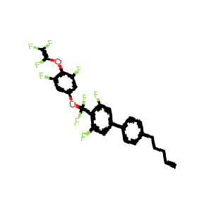 C=CCCCc1ccc(-c2cc(F)c(C(F)(F)Oc3cc(F)c(OC(F)=C(F)F)c(F)c3)c(F)c2)cc1